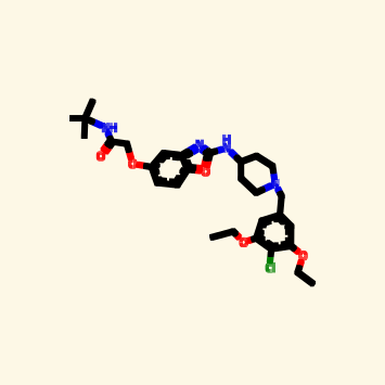 CCOc1cc(CN2CCC(Nc3nc4cc(OCC(=O)NC(C)(C)C)ccc4o3)CC2)cc(OCC)c1Cl